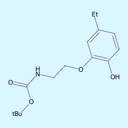 CCc1ccc(O)c(OCCNC(=O)OC(C)(C)C)c1